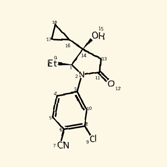 CC[C@@H]1N(c2ccc(C#N)c(Cl)c2)C(=O)C[C@@]1(O)C1CC1